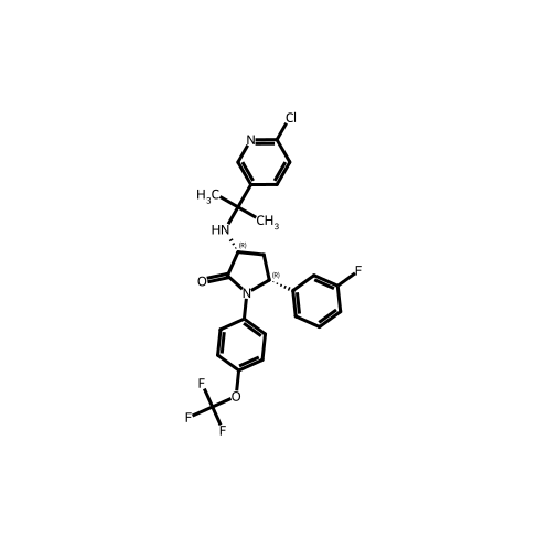 CC(C)(N[C@@H]1C[C@H](c2cccc(F)c2)N(c2ccc(OC(F)(F)F)cc2)C1=O)c1ccc(Cl)nc1